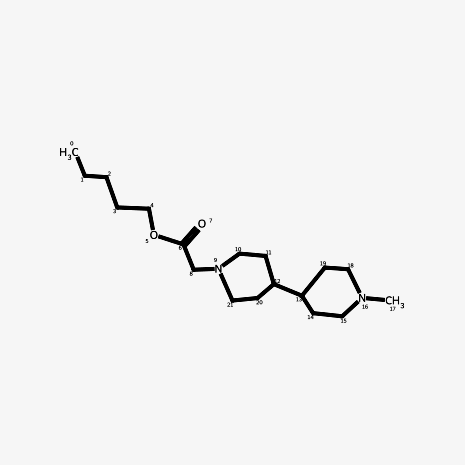 CCCCCOC(=O)CN1CCC(C2CCN(C)CC2)CC1